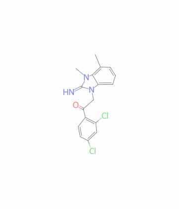 Cc1cccc2c1n(C)c(=N)n2CC(=O)c1ccc(Cl)cc1Cl